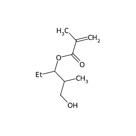 C=C(C)C(=O)OC(CC)C(C)CO